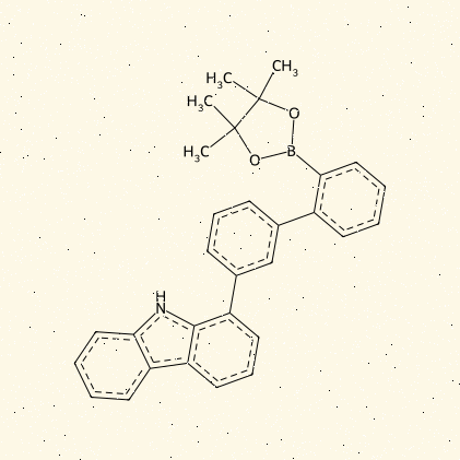 CC1(C)OB(c2ccccc2-c2cccc(-c3cccc4c3[nH]c3ccccc34)c2)OC1(C)C